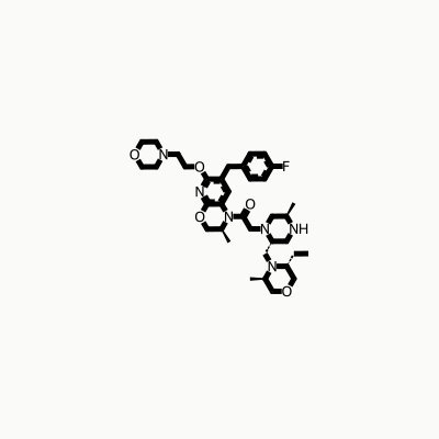 CC[C@@H]1COC[C@@H](C)N1C[C@H]1CN[C@H](C)CN1CC(=O)N1c2cc(Cc3ccc(F)cc3)c(OCCN3CCOCC3)nc2OC[C@@H]1C